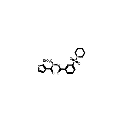 CCOC(=O)N(NC(=O)c1cccc(S(=O)(=O)N2CCCCC2)c1)C(=O)c1ccsc1